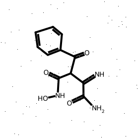 N=C(C(N)=O)C(C(=O)NO)C(=O)c1ccccc1